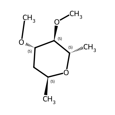 CO[C@H]1[C@H](C)O[C@@H](C)C[C@@H]1OC